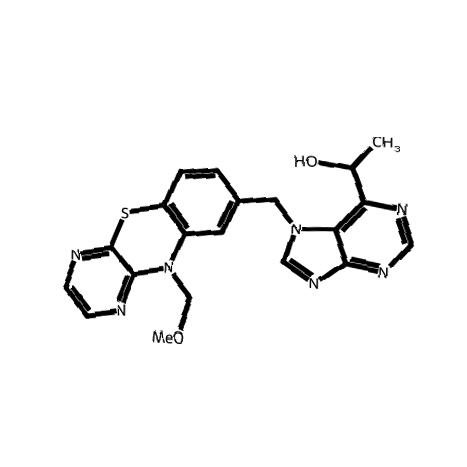 COCN1c2cc(Cn3cnc4ncnc(C(C)O)c43)ccc2Sc2nccnc21